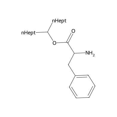 CCCCCCCC(CCCCCCC)OC(=O)C(N)Cc1ccccc1